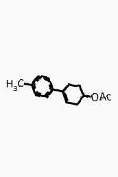 CC(=O)OC1CC=C(c2ccc(C)cc2)CC1